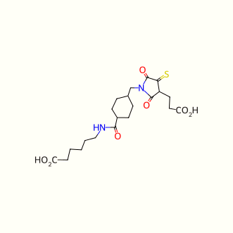 O=C(O)CCCCCNC(=O)C1CCC(CN2C(=O)C(=S)C(CCC(=O)O)C2=O)CC1